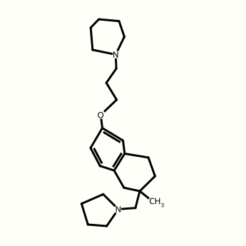 CC1(CN2CCCC2)CCc2cc(OCCCN3CCCCC3)ccc2C1